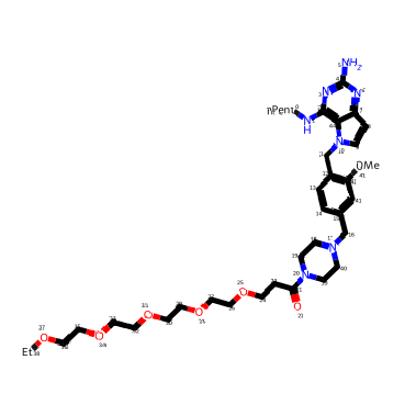 CCCCCNc1nc(N)nc2ccn(Cc3ccc(CN4CCN(C(=O)CCOCCOCCOCCOCCOCC)CC4)cc3OC)c12